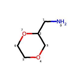 NCC1COCCO1